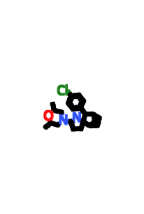 CC1CN(C2=NC3(CC2)C2CCC(C2)C3c2ccc(Cl)cc2)CC(C)O1